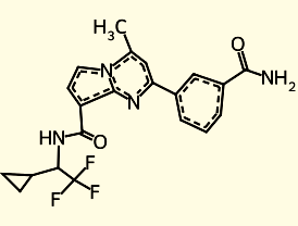 Cc1cc(-c2cccc(C(N)=O)c2)nc2c(C(=O)NC(C3CC3)C(F)(F)F)ccn12